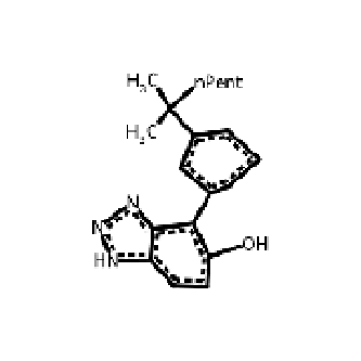 CCCCCC(C)(C)c1cccc(-c2c(O)ccc3[nH]nnc23)c1